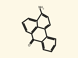 Nc1ccc2c3c(cccc13)C(=O)c1ccccc1-2